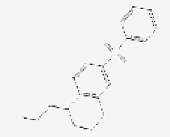 O=S(=O)(c1ccccc1)c1ccc2c(c1)CCCC2CCO